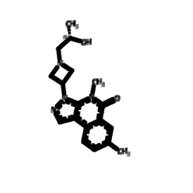 Cc1ccc2c(c1)c(=O)n(C)c1c2cnn1C1CN(C[C@H](C)O)C1